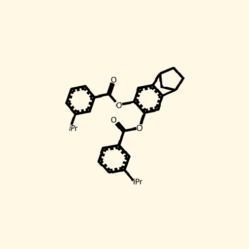 CC(C)c1cccc(C(=O)Oc2cc3c(cc2OC(=O)c2cccc(C(C)C)c2)C2CCC3C2)c1